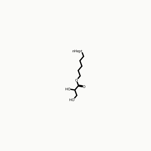 CCCCCCCCCCCCOC(=O)C(O)CO